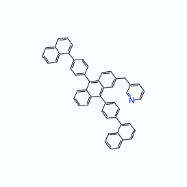 c1cncc(Cc2ccc3c(-c4ccc(-c5cccc6ccccc56)cc4)c4ccccc4c(-c4ccc(-c5cccc6ccccc56)cc4)c3c2)c1